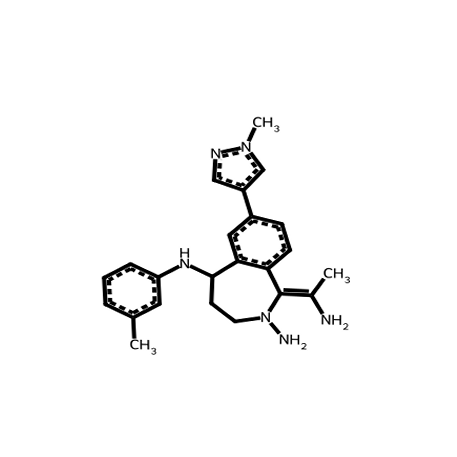 C/C(N)=C1\c2ccc(-c3cnn(C)c3)cc2C(Nc2cccc(C)c2)CCN1N